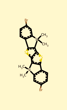 C[Si]1(C)c2cc(Br)ccc2-c2sc3c4c(sc3c21)-c1ccc(Br)cc1[Si]4(C)C